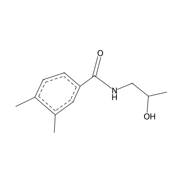 Cc1ccc(C(=O)NCC(C)O)cc1C